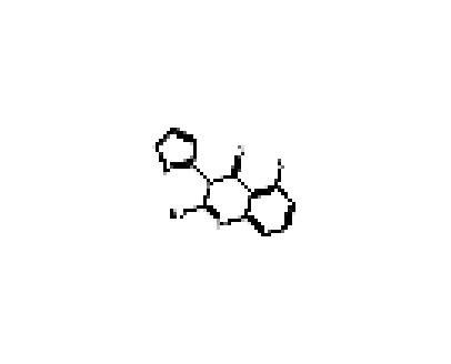 CCc1nc2cccc(Cl)c2c(=O)n1C1=NCC=C1